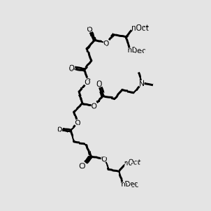 CCCCCCCCCCC(CCCCCCCC)COC(=O)CCC(=O)OCC(COC(=O)CCC(=O)OCC(CCCCCCCC)CCCCCCCCCC)OC(=O)CCCN(C)C